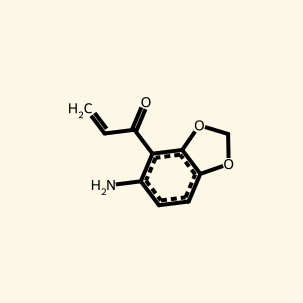 C=CC(=O)c1c(N)ccc2c1OCO2